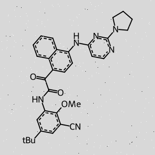 COc1c(C#N)cc(C(C)(C)C)cc1NC(=O)C(=O)c1ccc(Nc2ccnc(N3CCCC3)n2)c2ccccc12